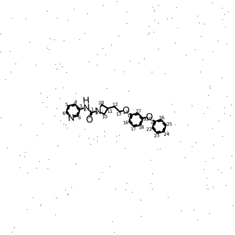 O=C(Nc1cccnc1)N1CC(CCOc2cccc(Oc3ccccc3)c2)C1